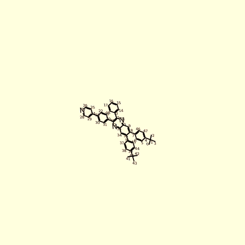 CC(C)(C)c1ccc(-c2cc3nc(-c4ccccc4)c(-c4ccc(-c5ccncc5)cc4)nc3cc2-c2ccc(C(C)(C)C)cc2)cc1